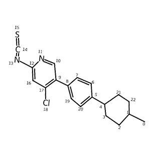 CC1CCC(c2ccc(-c3cnc(N=C=S)cc3Cl)cc2)CC1